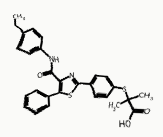 CCc1ccc(NC(=O)c2nc(-c3ccc(SC(C)(C)C(=O)O)cc3)sc2-c2ccccc2)cc1